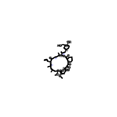 C=CC[C@@H]1/C=C(\C)C[C@H](C)C[C@H](OC)[C@H]2O[C@@](O)(C(=O)C(=O)N3CCCCC3C(=O)O[C@H](/C(C)=C/[C@@H]3CC[C@@H](O)[C@H](CO)C3)[C@H](C)/C=C/C1=O)[C@H](C)C[C@@H]2OC